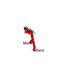 CCCCC/C=C\C/C=C\CCCCCCCCOCC(CN1CCC(OC)C1)OCCCOCCCO[C@H]1CC[C@](C)(CCC)/C(=C\CC[C@@H]2CC[C@H]([C@H](C)CCCC(C)C)[C@@H]2C)C1